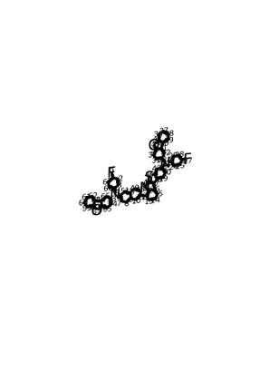 Fc1ccc(N(c2ccc3cc4c5cccc6c7c8ccc(N(c9ccc(F)cc9)c9ccc%10oc%11ccccc%11c%10c9)cc8sc7n(c4cc3c2)c56)c2ccc3oc4ccccc4c3c2)cc1